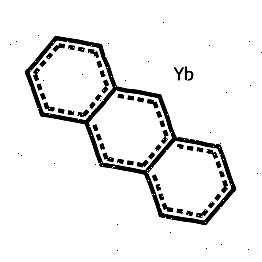 [Yb].c1ccc2cc3ccccc3cc2c1